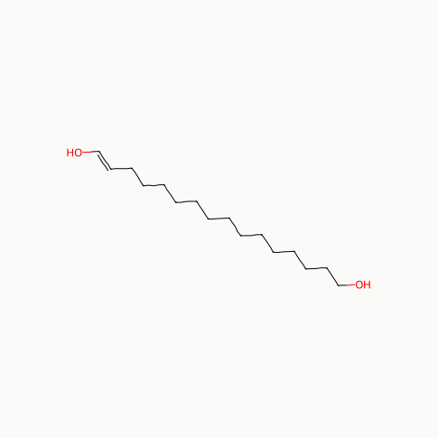 O/C=C/CCCCCCCCCCCCCCO